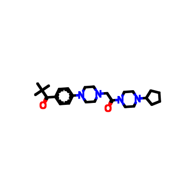 CC(C)(C)C(=O)c1ccc(N2CCN(CC(=O)N3CCN(C4CCCC4)CC3)CC2)cc1